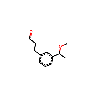 COC(C)c1cccc(CCC=O)c1